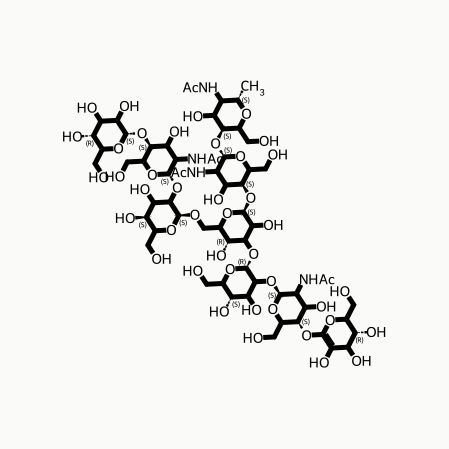 CC(=O)NC1C(O)[C@H](OC2=C(O)C(O)[C@@H](O)C(CO)O2)C(CO)O[C@H]1OC1C(O)[C@H](O)C(CO)O[C@@H]1OC1C(O)[C@H](O[C@@H]2C(CO)O[C@@H](O[C@@H]3C(CO)O[C@@H](C)C(NC(C)=O)C3O)C(NC(C)=O)C2O)OC(CO[C@H]2OC(CO)[C@@H](O)C(O)C2O[C@@H]2OC(CO)[C@@H](O[C@@H]3OC(CO)[C@H](O)C(O)C3O)C(O)C2NC(C)=O)[C@H]1O